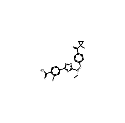 CC[C@@H](Oc1ccc(C(=O)C2(F)CC2)cc1)c1nc(-c2ccc(C(=O)O)c(F)c2)no1